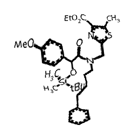 CCOC(=O)c1nc(CN(CCCCc2ccccc2)C(=O)C(O[Si](C)(C)C(C)(C)C)c2ccc(OC)cc2)sc1C